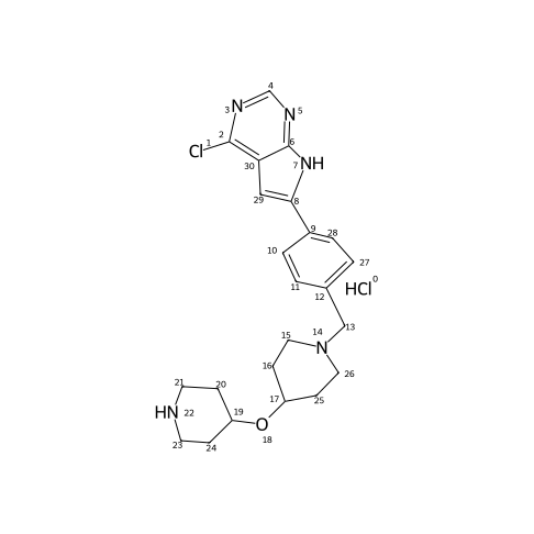 Cl.Clc1ncnc2[nH]c(-c3ccc(CN4CCC(OC5CCNCC5)CC4)cc3)cc12